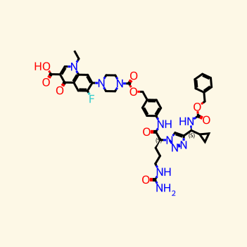 CCn1cc(C(=O)O)c(=O)c2cc(F)c(N3CCN(C(=O)OCc4ccc(NC(=O)[C@H](CCCNC(N)=O)n5cc([C@@H](NC(=O)OCc6ccccc6)C6CC6)nn5)cc4)CC3)cc21